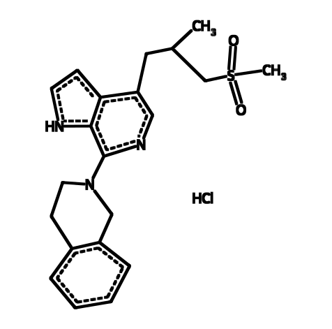 CC(Cc1cnc(N2CCc3ccccc3C2)c2[nH]ccc12)CS(C)(=O)=O.Cl